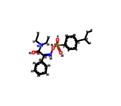 CCC(C)c1ccc(S(=O)(=O)ON=C(C(=O)N(CC)CC)c2ccccc2)cc1